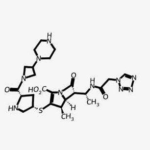 C[C@@H](NC(=O)Cn1cnnn1)[C@H]1C(=O)N2C(C(=O)O)=C(S[C@@H]3CN[C@H](C(=O)N4CC(N5CCNCC5)C4)C3)[C@H](C)[C@H]12